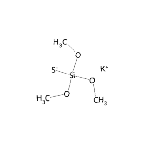 CO[Si]([S-])(OC)OC.[K+]